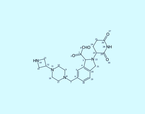 O=CC(=O)C1c2cc(CN3CCN(C4CNC4)CC3)ccc2CN1C1CCC(=O)NC1=O